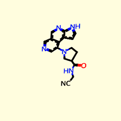 N#CCNC(=O)C1CCN(c2cncc3cnc4[nH]ccc4c23)C1